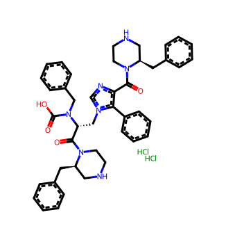 Cl.Cl.O=C(c1ncn(C[C@H](C(=O)N2CCNC[C@H]2Cc2ccccc2)N(Cc2ccccc2)C(=O)O)c1-c1ccccc1)N1CCNC[C@H]1Cc1ccccc1